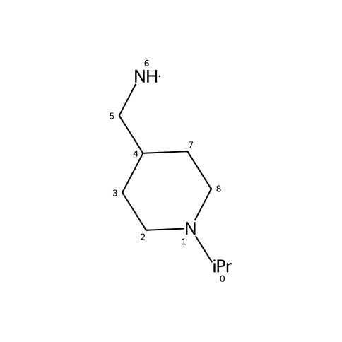 CC(C)N1CCC(C[NH])CC1